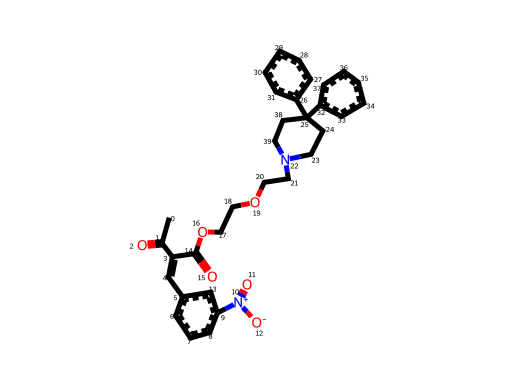 CC(=O)C(=Cc1cccc([N+](=O)[O-])c1)C(=O)OCCOCCN1CCC(c2ccccc2)(c2ccccc2)CC1